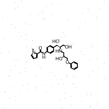 Cl.Cn1cccc1C(=O)Nc1ccc(C[C@@H](CO)NC[C@H](O)COc2ccccc2)cc1